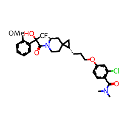 COc1ccccc1C(O)(C(=O)N1CCC2(CC1)C[C@@H]2CCCOc1ccc(C(=O)N(C)C)c(Cl)c1)C(F)(F)F